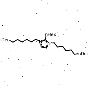 CCCCCCCCCCCCCCCCn1cc[n+](CCCCCCCCCCCCCCCC)c1CCCCCC